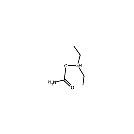 CC[SH](CC)OC(N)=O